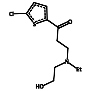 CCN(CCO)CCC(=O)c1ccc(Cl)s1